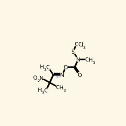 C/C(=N\OC(=O)N(C)SC(Cl)(Cl)Cl)C(C)(C)[N+](=O)[O-]